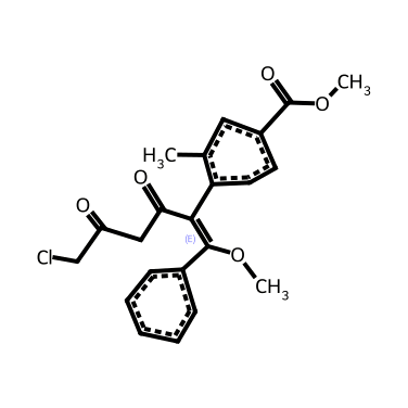 COC(=O)c1ccc(/C(C(=O)CC(=O)CCl)=C(\OC)c2ccccc2)c(C)c1